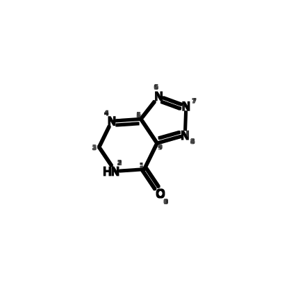 O=C1NCN=C2N=NN=C12